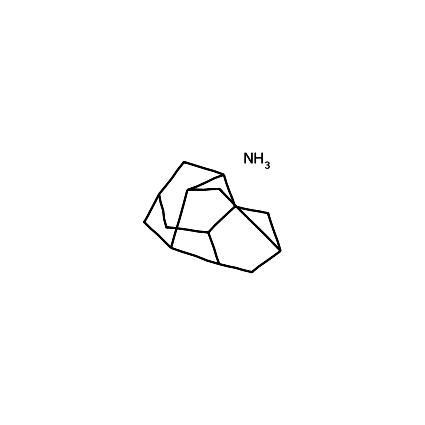 C1C2CC3C4CC5CC(C14)C(C2)C3C5.N